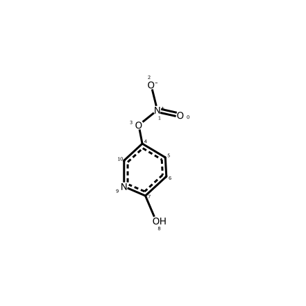 O=[N+]([O-])Oc1ccc(O)nc1